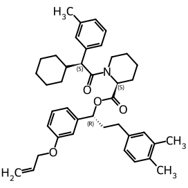 C=CCOc1cccc([C@@H](CCc2ccc(C)c(C)c2)OC(=O)[C@@H]2CCCCN2C(=O)[C@H](c2cccc(C)c2)C2CCCCC2)c1